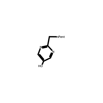 CCCCCCc1ncc(O)cn1